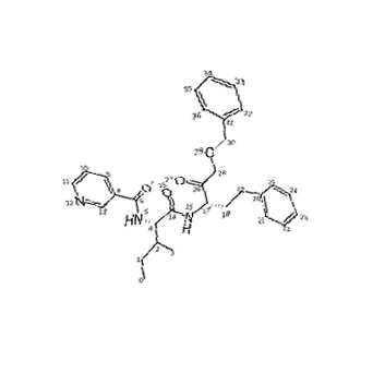 CCC(C)[C@H](NC(=O)c1cccnc1)C(=O)N[C@@H](CCc1ccccc1)C(=O)COCc1ccccc1